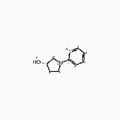 O[C@H]1CCN(c2cc[c]cn2)C1